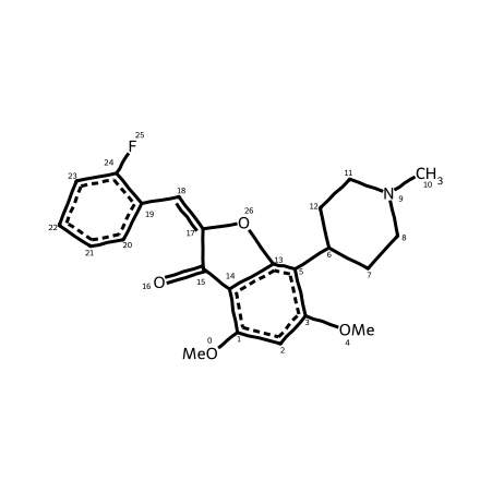 COc1cc(OC)c(C2CCN(C)CC2)c2c1C(=O)/C(=C\c1ccccc1F)O2